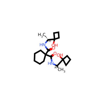 C[C@@H](NC(=O)C1(C(=O)N[C@H](C)C2(O)CCC2)CCCCC1)C1(O)CCC1